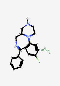 CN1CCN2c3ccc(F)cc3C(c3ccccc3)=NCC2C1.Cl.Cl